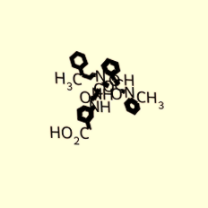 Cc1ccccc1NC(=O)COc1ccccc1N(CCC(C)C1CCCCC1)C(=O)CNC(=O)Nc1cccc(CC(=O)O)c1